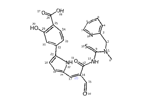 CN(Cc1ccccn1)C(=S)NC(=O)/C(C=O)=C\c1ccc(-c2ccc(C(=O)O)c(O)c2)[nH]1